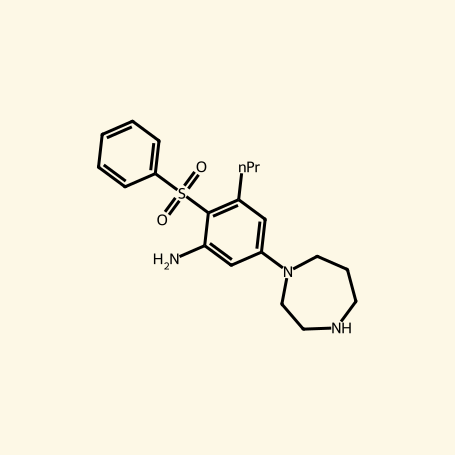 CCCc1cc(N2CCCNCC2)cc(N)c1S(=O)(=O)c1ccccc1